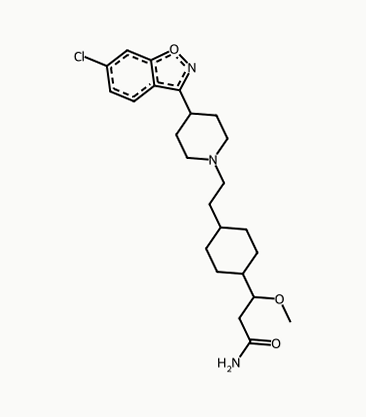 COC(CC(N)=O)C1CCC(CCN2CCC(c3noc4cc(Cl)ccc34)CC2)CC1